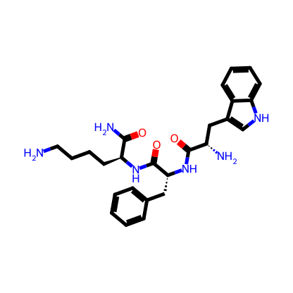 NCCCC[C@H](NC(=O)[C@@H](Cc1ccccc1)NC(=O)[C@@H](N)Cc1c[nH]c2ccccc12)C(N)=O